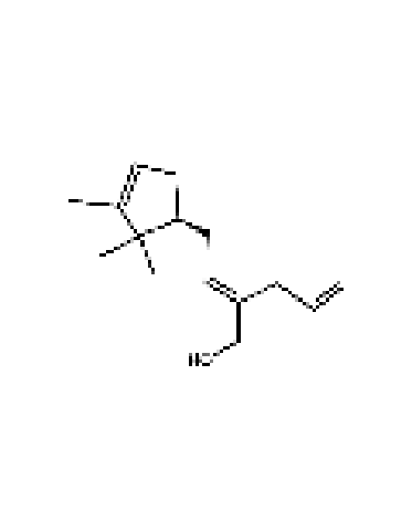 C=CC/C(=C\C[C@@H]1CC=C(C)C1(C)C)CO